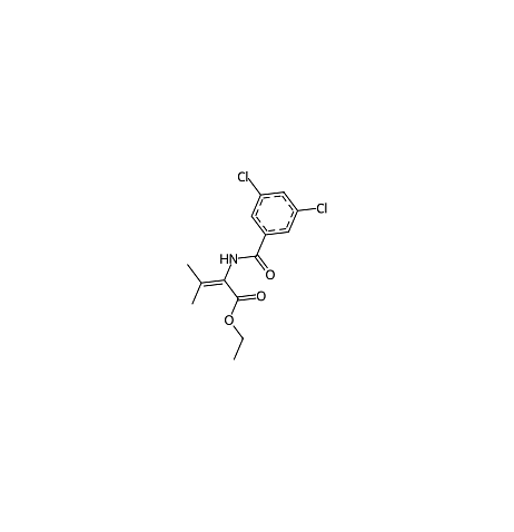 CCOC(=O)C(NC(=O)c1cc(Cl)cc(Cl)c1)=C(C)C